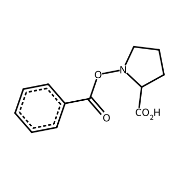 O=C(ON1CCCC1C(=O)O)c1ccccc1